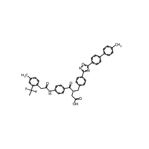 Cc1ccc(-c2ccc(-c3nc(-c4ccc(CN(CC(=O)O)C(=O)c5ccc(NC(=O)Cc6ccc(C)cc6C(F)(F)F)cc5)cc4)no3)cc2)cc1